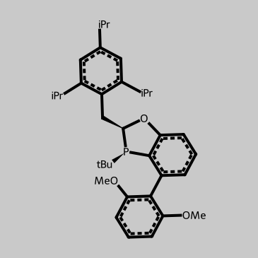 COc1cccc(OC)c1-c1cccc2c1[P@@](C(C)(C)C)[C@@H](Cc1c(C(C)C)cc(C(C)C)cc1C(C)C)O2